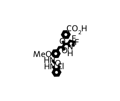 COc1cc(CC(=O)C(Oc2ccc(C(=O)O)cc2)C2CC(F)(F)CN2)ccc1NC(=O)Nc1ccccc1Cl